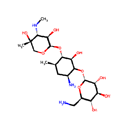 CN[C@@H]1[C@@H](O)[C@@H](O[C@H]2[C@H](C)C[C@H](N)C(O[C@H]3O[C@H](CN)[C@@H](O)[C@H](O)[C@H]3O)[C@@H]2O)OC[C@]1(C)O